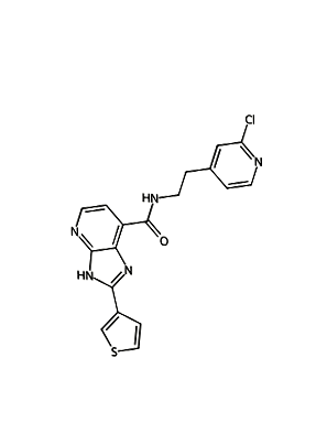 O=C(NCCc1ccnc(Cl)c1)c1ccnc2[nH]c(-c3ccsc3)nc12